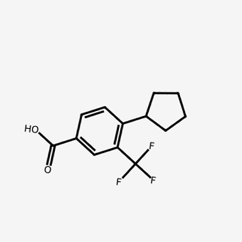 O=C(O)c1ccc(C2CCCC2)c(C(F)(F)F)c1